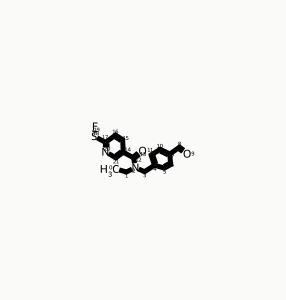 CCN(Cc1ccc(C=O)cc1)C(=O)c1ccc(SF)nc1